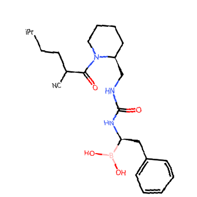 CC(C)CCC(C#N)C(=O)N1CCCC[C@H]1CNC(=O)N[C@@H](Cc1ccccc1)B(O)O